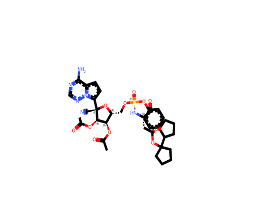 CC(=O)O[C@H]1[C@@H](OC(C)=O)[C@](C#N)(c2ccc3c(N)ncnn23)O[C@@H]1CO[P@](=O)(N[C@H](C=O)CC(=O)OC1(C2CCCC2)CCCC1)Oc1ccccc1